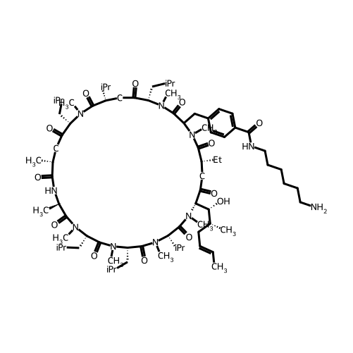 C/C=C/C[C@@H](C)[C@@H](O)[C@H]1C(=O)C[C@@H](CC)C(=O)N(C)C(Cc2ccc(C(=O)NCCCCCCN)cc2)C(=O)N(C)[C@@H](CC(C)C)C(=O)C[C@@H](C(C)C)C(=O)N(C)[C@@H](CC(C)C)C(=O)C[C@@H](C)C(=O)N[C@H](C)C(=O)N(C)[C@@H](CC(C)C)C(=O)N(C)[C@@H](CC(C)C)C(=O)N(C)[C@@H](C(C)C)C(=O)N1C